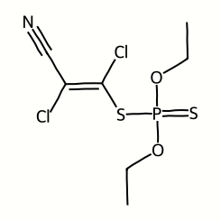 CCOP(=S)(OCC)SC(Cl)=C(Cl)C#N